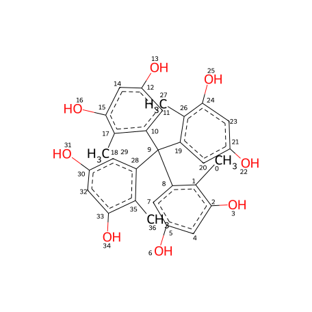 Cc1c(O)cc(O)cc1C(c1cc(O)cc(O)c1C)(c1cc(O)cc(O)c1C)c1cc(O)cc(O)c1C